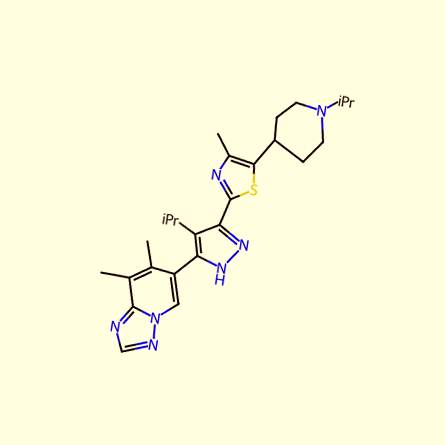 Cc1nc(-c2n[nH]c(-c3cn4ncnc4c(C)c3C)c2C(C)C)sc1C1CCN(C(C)C)CC1